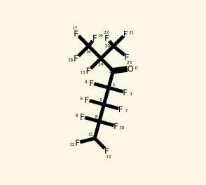 O=C(C(F)(F)C(F)(F)C(F)(F)C(F)F)C(F)(C(F)(F)F)C(F)(F)F